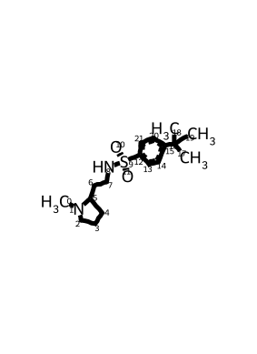 CN1CCCC1CCNS(=O)(=O)c1ccc(C(C)(C)C)cc1